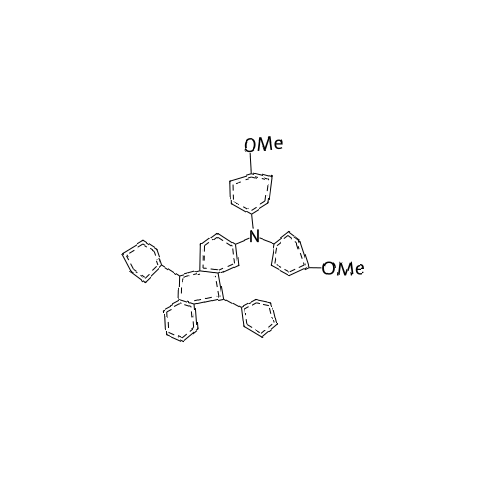 COc1ccc(N(c2ccc(OC)cc2)c2ccc3c(-c4ccccc4)c4ccccc4c(-c4ccccc4)c3c2)cc1